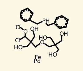 OCC(CO)(CO)COCC(CO)(CO)C(Cl)OCl.[Fe].[Pd].c1ccc(CPCc2ccccc2)cc1